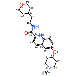 CC(C)N1CCC(Oc2ccc3nc(C(=O)NCCC4CCOCC4)ccc3c2)CC1